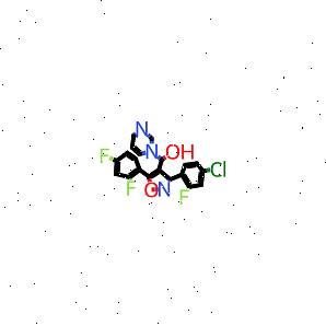 OC(c1c(-c2ccc(Cl)cc2F)noc1-c1ccc(F)cc1F)N1C=CC=NC1